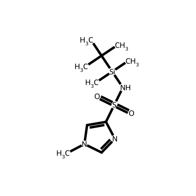 Cn1cnc(S(=O)(=O)N[Si](C)(C)C(C)(C)C)c1